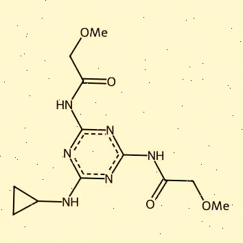 COCC(=O)Nc1nc(NC(=O)COC)nc(NC2CC2)n1